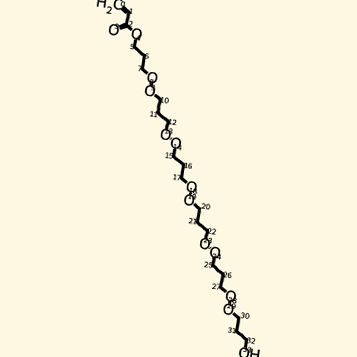 C=CC(=O)OCCCOOCCCOOCCCOOCCCOOCCCOOCCCO